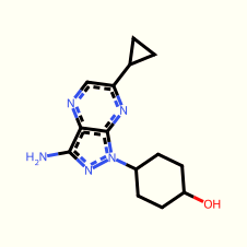 Nc1nn(C2CCC(O)CC2)c2nc(C3CC3)cnc12